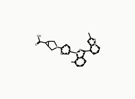 Cc1cc2c(-c3nn(-c4ccc(N5CC6C(C5)C6C(=O)O)nc4)c4c(C)cccc34)cccn2n1